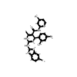 CC(=O)c1ccnc(NC(=O)C2=C(C)NC(Nc3nc4ccc(F)cc4o3)=NC2c2ccc(Br)cc2Cl)c1